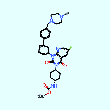 CC(C)N1CCN(Cc2ccc(-c3cccc(-n4c(=O)n([C@H]5CC[C@@H](NC(=O)OC(C)(C)C)CC5)c(=O)c5cc(F)cnc54)c3)cc2)CC1